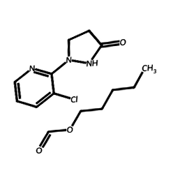 CCCCCOC=O.O=C1CCN(c2ncccc2Cl)N1